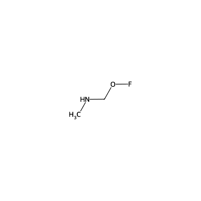 CNCOF